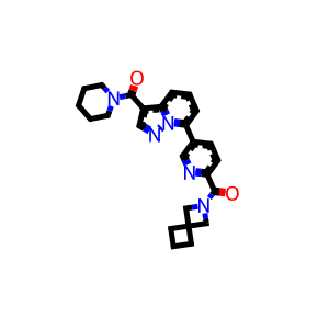 O=C(c1ccc(-c2cccc3c(C(=O)N4CCCCC4)cnn23)cn1)N1CC2(CCC2)C1